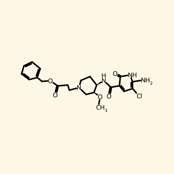 CO[C@H]1CN(CCC(=O)OCc2ccccc2)CC[C@H]1NC(=O)c1cc(Cl)c(N)[nH]c1=O